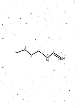 CSCCNC=N